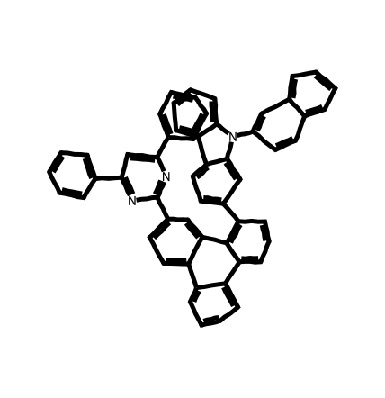 c1ccc(-c2cc(-c3ccccc3)nc(-c3ccc4c5ccccc5c5cccc(-c6ccc7c8ccccc8n(-c8ccc9ccccc9c8)c7c6)c5c4c3)n2)cc1